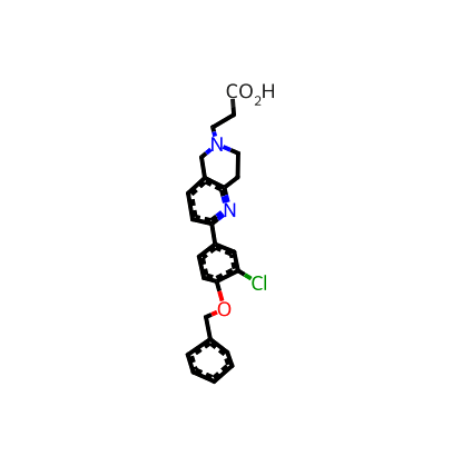 O=C(O)CCN1CCc2nc(-c3ccc(OCc4ccccc4)c(Cl)c3)ccc2C1